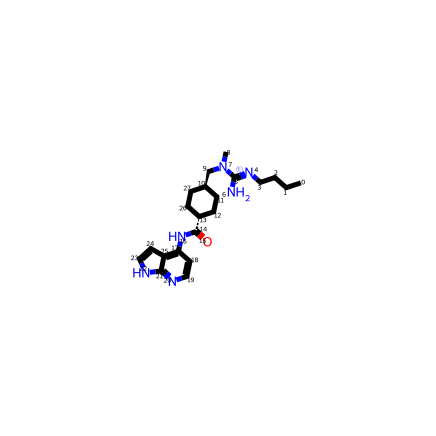 CCCC/N=C(\N)N(C)C[C@H]1CC[C@H](C(=O)Nc2ccnc3[nH]ccc23)CC1